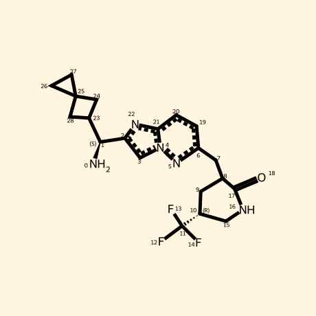 N[C@H](c1cn2nc(CC3C[C@@H](C(F)(F)F)CNC3=O)ccc2n1)C1CC2(CC2)C1